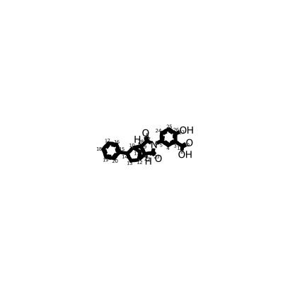 O=C(O)c1cc(N2C(=O)[C@@H]3C4CC(CC4c4ccccc4)[C@@H]3C2=O)ccc1O